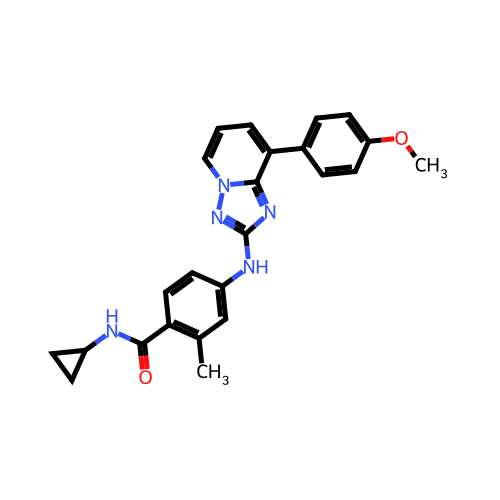 COc1ccc(-c2cccn3nc(Nc4ccc(C(=O)NC5CC5)c(C)c4)nc23)cc1